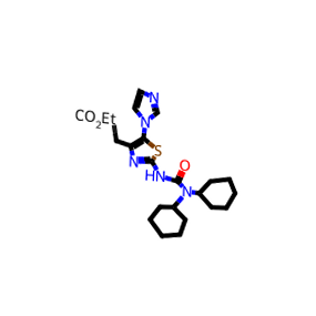 CCOC(=O)Cc1nc(NC(=O)N(C2CCCCC2)C2CCCCC2)sc1-n1ccnc1